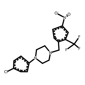 O=[N+]([O-])c1ccc(CN2CCN(c3ccc(Cl)cc3)CC2)c(C(F)(F)F)c1